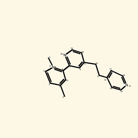 Cc1cc[n+](C)c(-c2cc(CCc3ccncc3)ccn2)c1